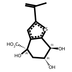 C=C(C)c1cc2c(s1)[C@@H](O)[C@H](O)C[C@]2(O)C(=O)O